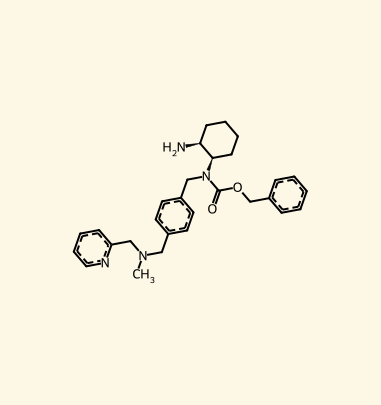 CN(Cc1ccc(CN(C(=O)OCc2ccccc2)[C@@H]2CCCC[C@@H]2N)cc1)Cc1ccccn1